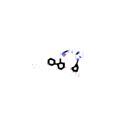 COc1cccc(-c2ccc3cc2CN2CCN(CC2=O)Cc2cnc(C)n2Cc2ccc(C#N)c(c2)O3)c1